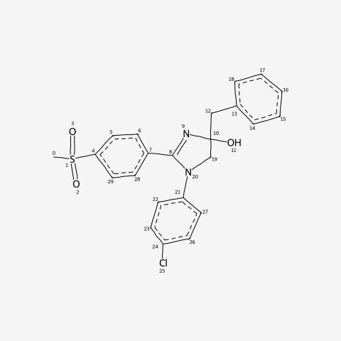 CS(=O)(=O)c1ccc(C2=NC(O)(Cc3ccccc3)CN2c2ccc(Cl)cc2)cc1